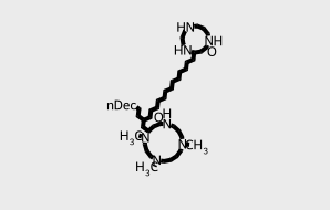 CCCCCCCCCCCCC(CCCCCCCCCCCCCC1CC(=O)NCCCNCCCN1)CC1CC(=O)NCCCN(C)CCCCN(C)CCCN1C